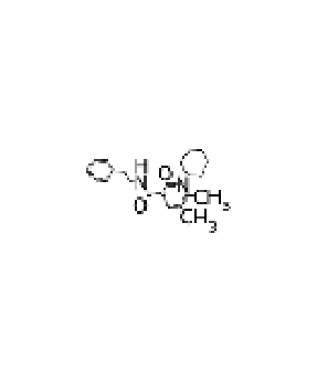 Cc1cc(C(=O)NCCc2ccccc2)c(=O)n(C2CCCCC2)c1C